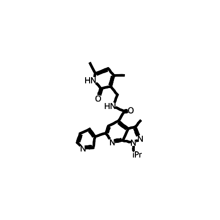 Cc1cc(C)c(CNC(=O)c2cc(-c3cccnc3)nc3c2c(C)nn3C(C)C)c(=O)[nH]1